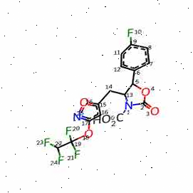 O=C(O)N1C(=O)OC(c2ccc(F)cc2)C1Cc1cc(OC(F)(F)C(F)F)no1